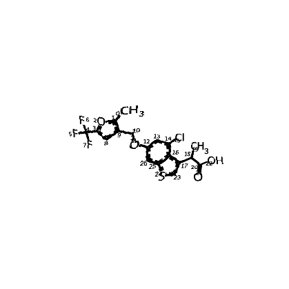 Cc1oc(C(F)(F)F)cc1COc1cc(Cl)c2c(C(C)C(=O)O)csc2c1